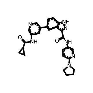 O=C(Nc1ccc(N2CCCC2)nc1)c1n[nH]c2ccc(-c3cncc(NC(=O)C4CC4)c3)cc12